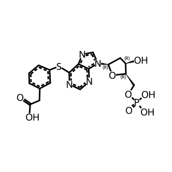 O=C(O)Cc1cccc(Sc2ncnc3c2ncn3[C@H]2C[C@@H](O)[C@@H](COP(=O)(O)O)O2)c1